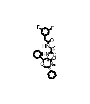 C[C@H](NC(=O)Cc1cc(F)cc(F)c1)C(=O)N[C@@H]1C(=O)N(C)[C@H](c2ccccc2)COC1c1ccccc1